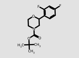 CC(C)(C)OC(=O)N1CCOC(c2ccc(F)cc2F)C1